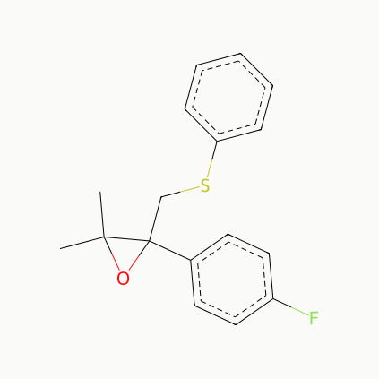 CC1(C)OC1(CSc1ccccc1)c1ccc(F)cc1